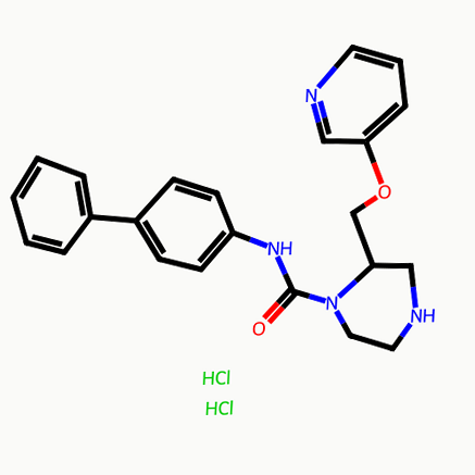 Cl.Cl.O=C(Nc1ccc(-c2ccccc2)cc1)N1CCNCC1COc1cccnc1